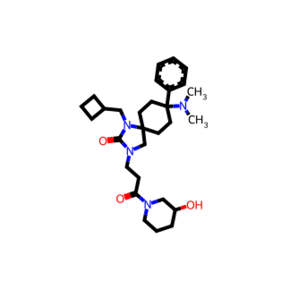 CN(C)C1(c2ccccc2)CCC2(CC1)CN(CCC(=O)N1CCCC(O)C1)C(=O)N2CC1CCC1